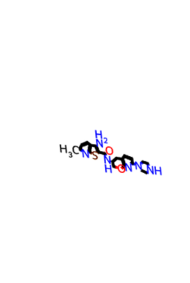 Cc1ccc2c(N)c(C(=O)N[C@H]3COc4nc(N5CCNCC5)ccc4C3)sc2n1